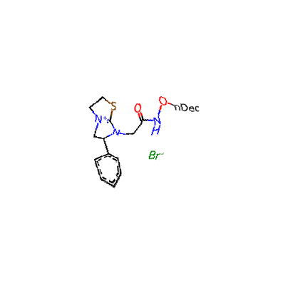 CCCCCCCCCCONC(=O)CN1C2=[N+](CCS2)CC1c1ccccc1.[Br-]